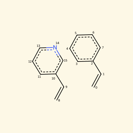 C=Cc1ccccc1.C=Cc1cccnc1